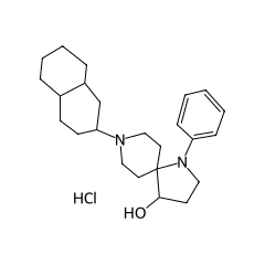 Cl.OC1CCN(c2ccccc2)C12CCN(C1CCC3CCCCC3C1)CC2